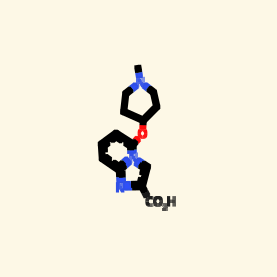 CN1CCC(Oc2cccc3nc(C(=O)O)cn23)CC1